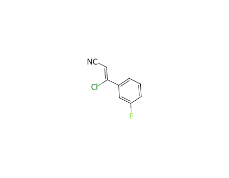 N#C/C=C(\Cl)c1cccc(F)c1